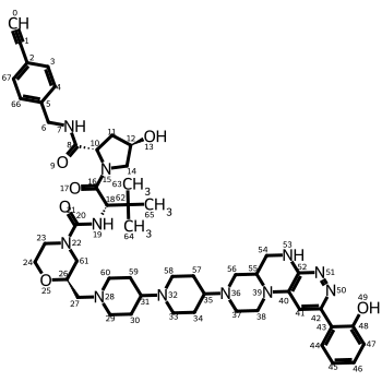 C#Cc1ccc(CNC(=O)[C@@H]2C[C@@H](O)CN2C(=O)[C@@H](NC(=O)N2CCO[C@H](CN3CCC(N4CCC(N5CCN6c7cc(-c8ccccc8O)nnc7NCC6C5)CC4)CC3)C2)C(C)(C)C)cc1